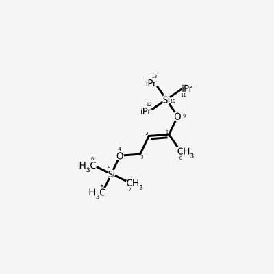 CC(=CCO[Si](C)(C)C)O[Si](C(C)C)(C(C)C)C(C)C